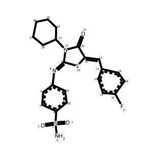 NS(=O)(=O)c1ccc(/N=C2\SC(=Cc3ccc(F)cc3)C(=O)N2C2CCCCC2)cc1